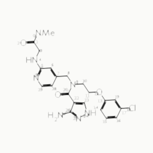 CNC(=O)CNc1cc(CN(CCOc2cccc(Cl)c2)C(=O)c2c[nH]nc2N)ccn1